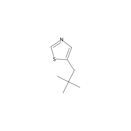 CC(C)(C)[CH]c1cncs1